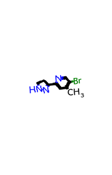 Cc1cc(C2=NNCC2)ncc1Br